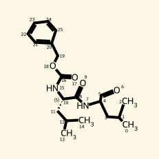 CC(C)CC(C=O)NC(=O)[C@H](CC(C)C)NC(=O)OCc1ccccc1